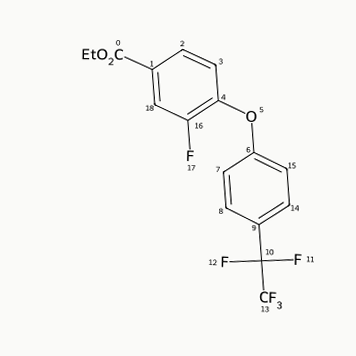 CCOC(=O)c1ccc(Oc2ccc(C(F)(F)C(F)(F)F)cc2)c(F)c1